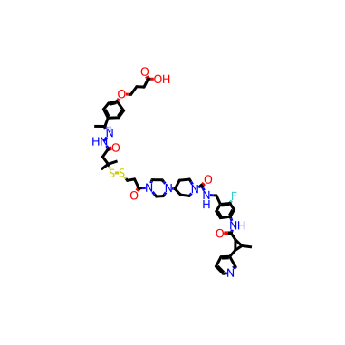 C/C(=N\NC(=O)CC(C)(C)SSCCC(=O)N1CCN(C2CCN(C(=O)NCc3ccc(NC(=O)C4C(C)C4c4cccnc4)cc3F)CC2)CC1)c1ccc(OCCCC(=O)O)cc1